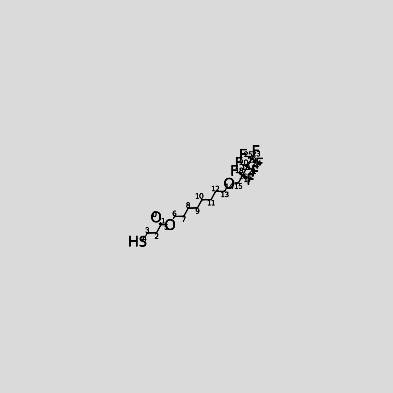 O=C(CCS)OCCCCCCCCOCC(F)(F)C(F)(F)C(F)(F)F